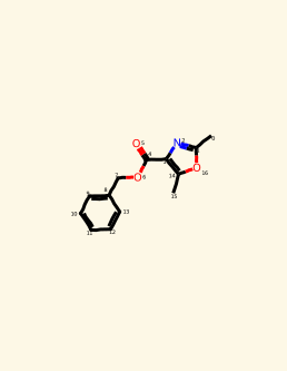 Cc1nc(C(=O)OCc2ccccc2)c(C)o1